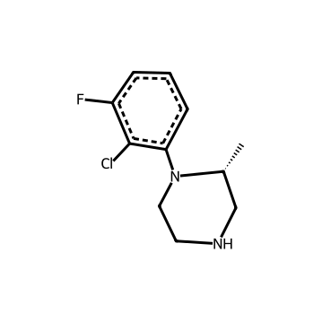 C[C@@H]1CNCCN1c1cccc(F)c1Cl